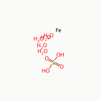 O.O.O.O.O.O=S(=O)(O)O.[Fe]